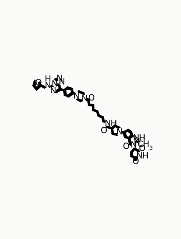 CN1Nc2ccc(N3CCC(C(=O)NCCCCCCCC(=O)N4CCN(c5ccc(-c6cnc(NCc7ccco7)n7cnnc67)cc5)CC4)CC3)cc2C(=O)N1C1CCC(=O)NC1=O